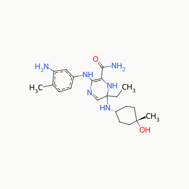 CCC1(N[C@H]2CC[C@@](C)(O)CC2)C=NC(Nc2ccc(C)c(N)c2)=C(C(N)=O)N1